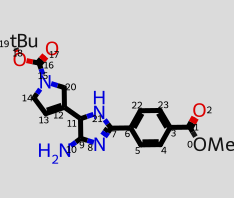 COC(=O)c1ccc(C2=NC(N)C(C3=CCN(C(=O)OC(C)(C)C)C3)N2)cc1